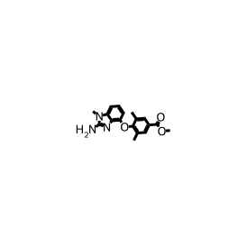 COC(=O)c1cc(C)c(Oc2cccc3c2nc(N)n3C)c(C)c1